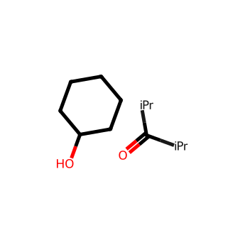 CC(C)C(=O)C(C)C.OC1CCCCC1